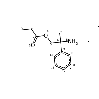 CCC(=O)OCC(C)(N)c1ccccc1